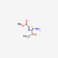 CC(C)(C)OC(=O)c1nc(C(=O)C(=O)O)c(N)s1